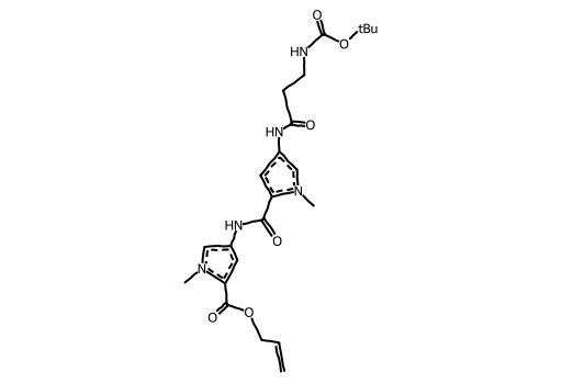 C=CCOC(=O)c1cc(NC(=O)c2cc(NC(=O)CCNC(=O)OC(C)(C)C)cn2C)cn1C